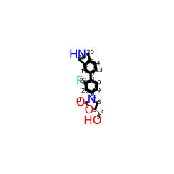 O=C1O[C@@H](CO)CN1c1ccc(-c2ccc3c(c2)CNC3)c(F)c1